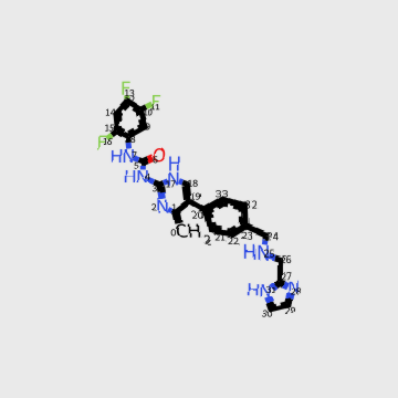 C=C1N=C(NC(=O)Nc2cc(F)c(F)cc2F)NC=C1c1ccc(CNCc2ncc[nH]2)cc1